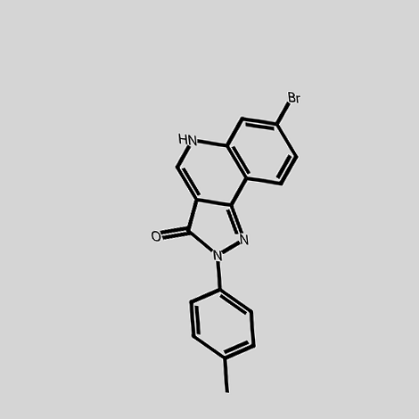 Cc1ccc(-n2nc3c4ccc(Br)cc4[nH]cc-3c2=O)cc1